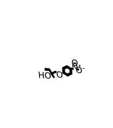 C=CC(C)(O)COc1ccc([N+](=O)[O-])cc1